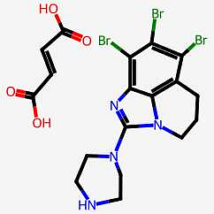 Brc1c(Br)c2c3c(nc(N4CCNCC4)n3CCC2)c1Br.O=C(O)C=CC(=O)O